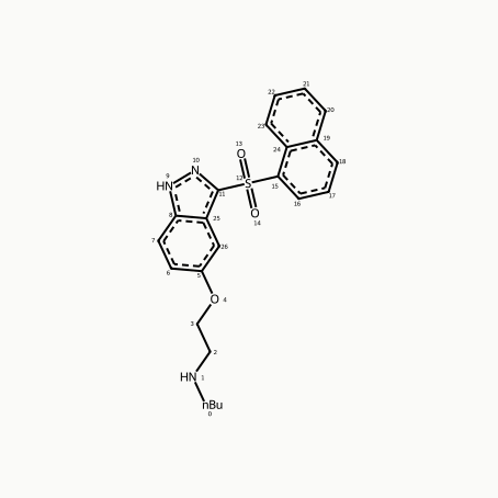 CCCCNCCOc1ccc2[nH]nc(S(=O)(=O)c3cccc4ccccc34)c2c1